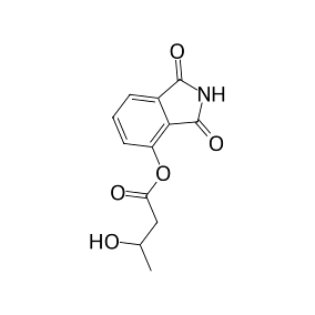 CC(O)CC(=O)Oc1cccc2c1C(=O)NC2=O